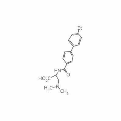 CCc1ccc(-c2ccc(C(=O)NC(CN(C)C)C(=O)O)cc2)cc1